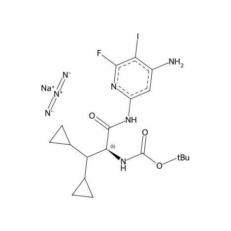 CC(C)(C)OC(=O)N[C@H](C(=O)Nc1cc(N)c(I)c(F)n1)C(C1CC1)C1CC1.[N-]=[N+]=[N-].[Na+]